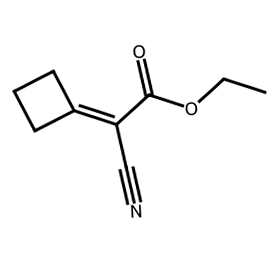 CCOC(=O)C(C#N)=C1CCC1